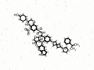 CC(C)c1ccccc1[C@@H]1CCCN1C1CC2(C1)CN(c1ccc(C(=O)NS(=O)(=O)c3cc4c(c([N+](=O)[O-])c3)N[C@@H](C3CCC(O)CC3)CO4)c(N3c4cc5cc[nH]c5nc4O[C@H]4COC[C@@H]43)c1)C2